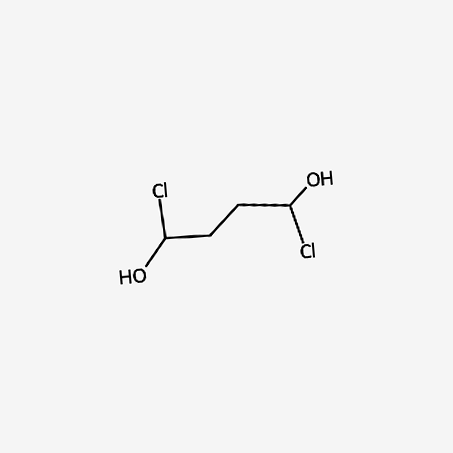 OC(Cl)CCC(O)Cl